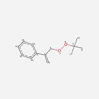 C=C(COOC(C)(C)C)c1ccccc1